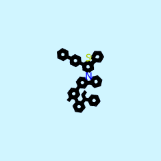 CCC(c1ccccc1)c1ccccc1-c1cc(-c2ccc3c(c2)c2ccccc2n3-c2cc(-c3ccc(-c4ccccc4)cc3)c3sc4ccccc4c3c2)ccc1C